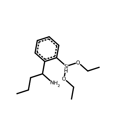 CCCC(N)c1ccccc1[SiH](OCC)OCC